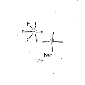 C[N+](C)(C)C.F[P-](F)(F)(F)(F)F.[Cl-].[Na+]